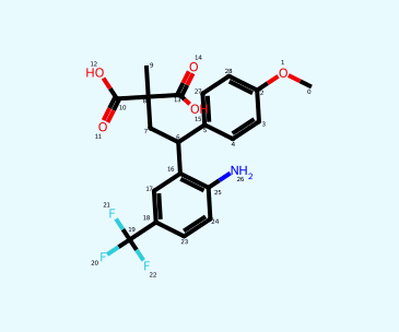 COc1ccc(C(CC(C)(C(=O)O)C(=O)O)c2cc(C(F)(F)F)ccc2N)cc1